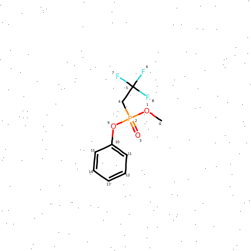 COP(=O)(CC(F)(F)F)Oc1ccccc1